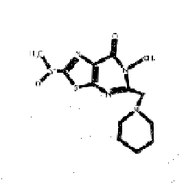 Cn1c(CN2CCCCC2)nc2sc([S+](C)[O-])nc2c1=O